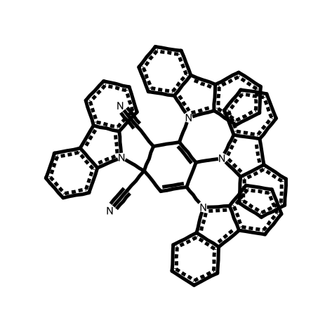 N#CC1C(n2c3ccccc3c3ccccc32)=C(n2c3ccccc3c3ccccc32)C(n2c3ccccc3c3ccccc32)=CC1(C#N)n1c2ccccc2c2ccccc21